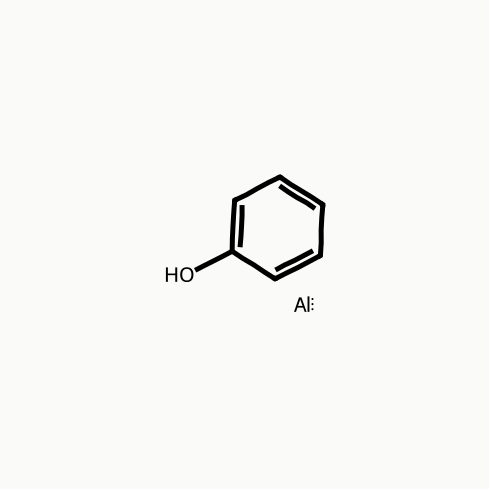 Oc1ccccc1.[Al]